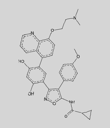 COc1ccc(-c2c(-c3cc(-c4ccc(OCCN(C)C)c5ncccc45)c(O)cc3O)noc2NC(=O)C2CC2)cc1